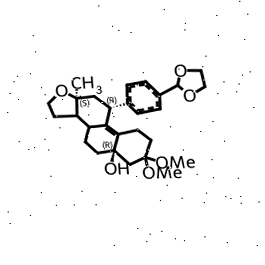 COC1(OC)CCC2=C3C(CC[C@@]2(O)C1)C1CCO[C@@]1(C)C[C@@H]3c1ccc(C2OCCO2)cc1